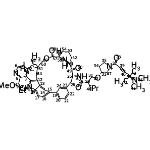 CCn1c(-c2cccnc2[C@H](C)OC)c2c3cc(ccc31)-c1cccc(c1)C[C@H](NC(=O)[C@@H](CO[C@@H]1CCN(C(=O)C#CC(C)(C)N(C)C)C1)C(C)C)C(=O)N1CCC[C@H](N1)C(=O)OCC(C)(C)C2